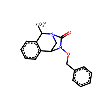 O=C(O)C1c2ccccc2C2CN1C(=O)N2OCc1ccccc1